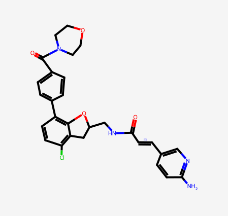 Nc1ccc(/C=C/C(=O)NCC2Cc3c(Cl)ccc(-c4ccc(C(=O)N5CCOCC5)cc4)c3O2)cn1